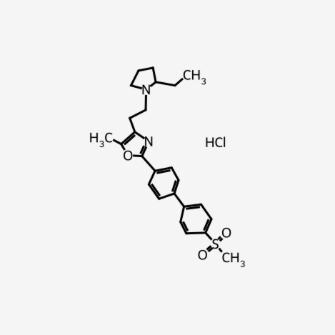 CCC1CCCN1CCc1nc(-c2ccc(-c3ccc(S(C)(=O)=O)cc3)cc2)oc1C.Cl